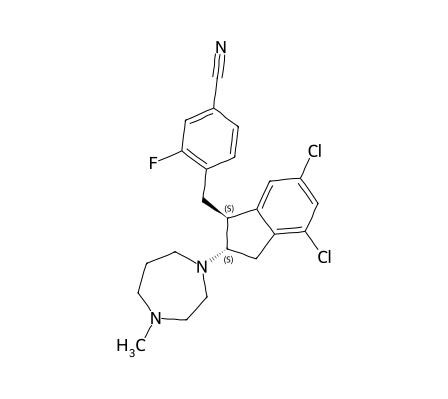 CN1CCCN([C@H]2Cc3c(Cl)cc(Cl)cc3[C@@H]2Cc2ccc(C#N)cc2F)CC1